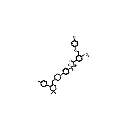 CC1(C)CCC(CN2CCN(c3ccc(S(=O)(=O)NC(=O)c4ccc([N+](=O)[O-])c(COc5ccc(Cl)cc5)c4)cc3)CC2)=C(c2ccc(Cl)cc2)C1